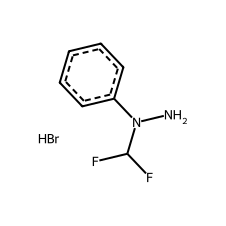 Br.NN(c1ccccc1)C(F)F